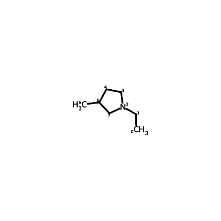 CCN1CCC(C)C1